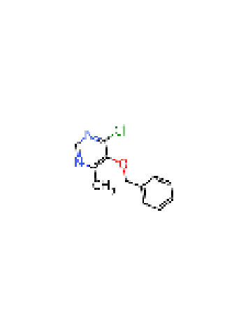 Cc1ncnc(Cl)c1OCc1ccccc1